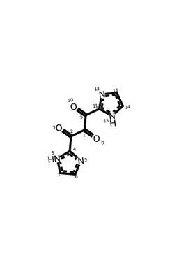 O=C(C(=O)c1ncc[nH]1)C(=O)c1ncc[nH]1